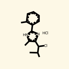 Cc1ccccc1-c1nc(C(Cl)C(C)C)c(C)[nH]1.Cl